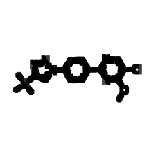 COc1nc(-c2ccc(-n3cc([Si](C)(C)C)nn3)cc2)ncc1Cl